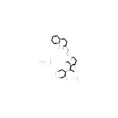 Cl.O=c1c2c(-c3ccncc3O)csc2ccn1CCc1ccc2ccccc2n1